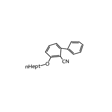 CCCCCCCOc1cccc(-c2ccccc2)c1C#N